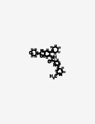 Cc1cc(-c2nc(C(=O)Nc3cc4oc(N5CCOCC5)nc4cc3N3CCCCC3)cs2)ccn1